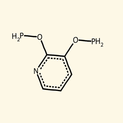 POc1cccnc1OP